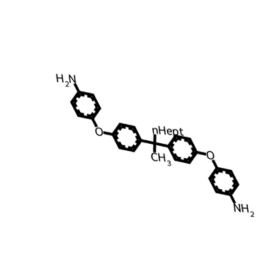 CCCCCCCC(C)(c1ccc(Oc2ccc(N)cc2)cc1)c1ccc(Oc2ccc(N)cc2)cc1